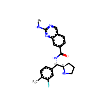 CC(C)Nc1ncc2ccc(C(=O)N[C@@H](c3ccc(C(F)(F)F)c(F)c3)[C@H]3CCCN3)cc2n1